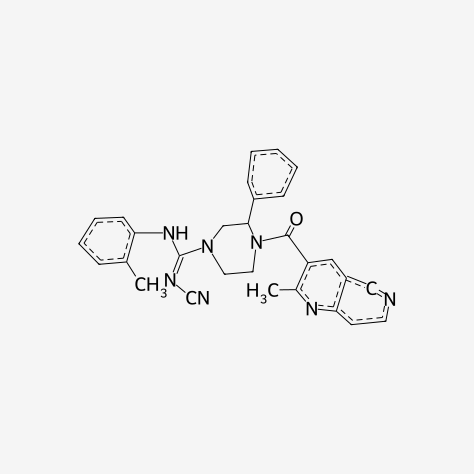 Cc1ccccc1N/C(=N/C#N)N1CCN(C(=O)c2cc3cnccc3nc2C)C(c2ccccc2)C1